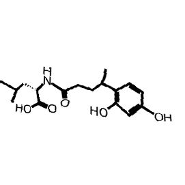 CC(C)C[C@H](NC(=O)CCC(C)c1ccc(O)cc1O)C(=O)O